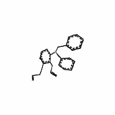 C=CCc1cccc(N(Cc2ccccc2)c2ccccc2)c1CC=C